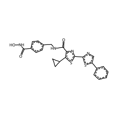 O=C(NO)c1ccc(CNC(=O)c2nc(-c3ncc(-c4ccccc4)s3)sc2C2CC2)cc1